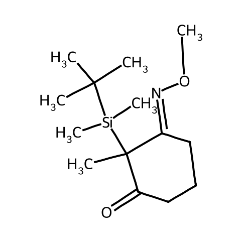 CON=C1CCCC(=O)C1(C)[Si](C)(C)C(C)(C)C